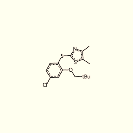 Cc1nc(Sc2ccc(Cl)cc2OCC(C)(C)C)sc1C